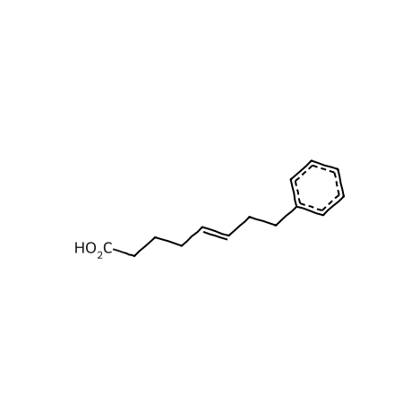 O=C(O)CCCC=CCCc1ccccc1